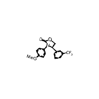 COc1ccc(N2C(=O)OCC2c2cccc(C(F)(F)F)c2)cc1